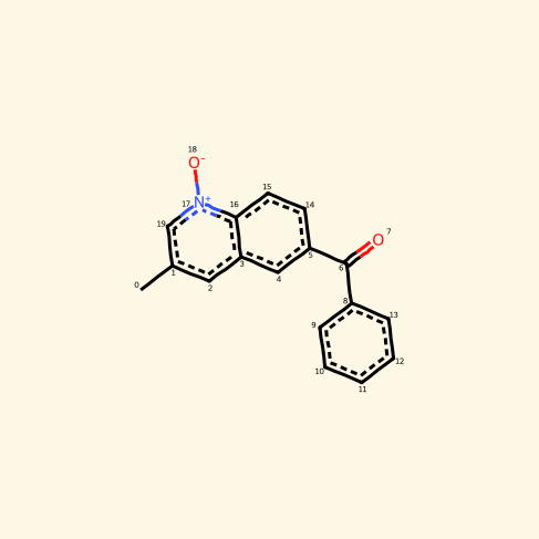 Cc1cc2cc(C(=O)c3ccccc3)ccc2[n+]([O-])c1